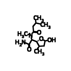 CC(C)CC(=O)N(C)[C@H](C(N)=O)[C@@H]1OC(O)C[C@H]1C